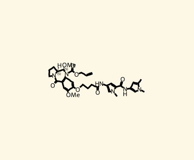 C=CCOC(=O)N1c2cc(OCCCC(=O)Nc3cc(C(=O)Nc4cc(C)n(C)c4)n(C)c3)c(OC)cc2C(=O)N2CCC[C@H]2[C@@H]1OC